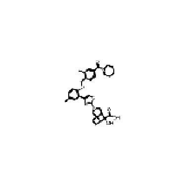 Cc1ccc(OCc2ccc(C(=O)N3CCCCC3)cc2C)c(-c2csc(N3CC4C5(CCC5C4(O)C(=O)O)C3)n2)c1